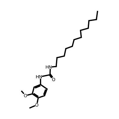 CCCCCCCCCCCCNC(=O)Nc1ccc(OC)c(OC)c1